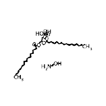 CCCCCCCCCCCCCCCC(=O)OCC(COP(=O)(O)O)OC(=O)CCCCCCCCCCCCCCC.NCCO